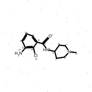 CN1CCC(NC(=O)c2cccc(N)c2Cl)CC1